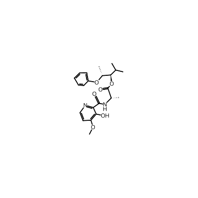 COc1ccnc(C(=O)N[C@@H](C)C(=O)O[C@H](C(C)C)[C@@H](C)Oc2ccccc2)c1O